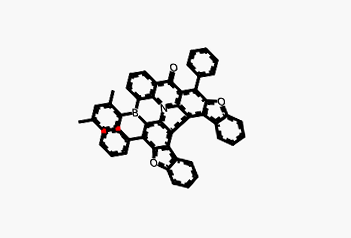 Cc1cc(C)c(B2c3cccc4c(=O)c5c(-c6ccccc6)c6oc7ccccc7c6c6c7c8c(oc9ccccc98)c(-c8ccccc8)c2c7n(c34)c56)c(C)c1